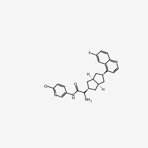 NC(C(=O)Nc1ccc(Cl)nc1)[C@H]1C[C@H]2C[C@@H](c3ccnc4ccc(F)cc34)C[C@H]2C1